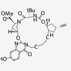 C#C[C@@H]1C[C@H]2CCCCCn3c(nc4cc(O)ccc4c3=O)O[C@@H]3C[C@@H](C(=O)OC)N(C3)C(=O)[C@H](C(C)(C)C)NC(=O)O[C@@H]2C1